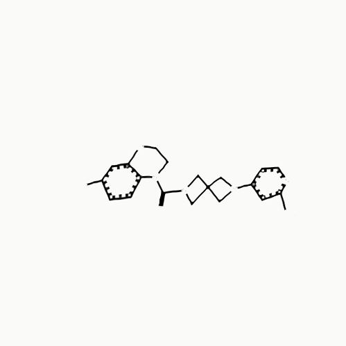 Cc1cc(N2CC3(CN(C(=O)N4CCOc5cc(Cl)ccc54)C3)C2)ccn1